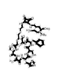 CCCCN(CCN)C(C=O)CCCNc1c(NCCOCCOCC(=O)N[C@@H](CC(=O)O)C(=O)NC(C)C(=O)N[C@@H](Cc2c[nH]cn2)C(=O)NC(CO)C(=O)N[C@@H](Cc2ccccc2)C(=O)NC(CO)C(=O)O)c(=O)c1=O